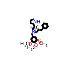 COc1cc(CN(CCC2CCCN2)C/C(C)=C/c2ccccc2)cc(OC)c1OC